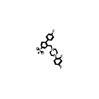 CS(=O)(=O)c1ccc(-c2ccc(F)cc2)c(CN2CCN(c3ccc(F)cc3F)CC2)c1